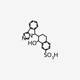 O=S(=O)(O)c1ccc2c(c1)C(O)C(C1c3ccccc3-c3cncn31)CC2